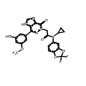 O=C(Cn1nc(-c2cc(O)cc(OC(F)(F)F)c2)c2[nH]cnc2c1=O)N(c1ccc2c(c1)OC(F)(F)O2)C1CC1